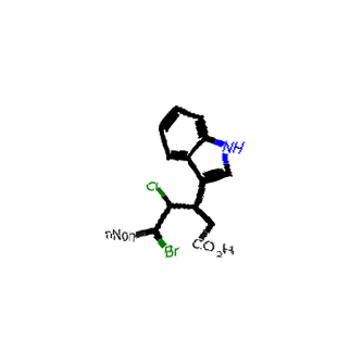 CCCCCCCCCC(Br)C(Cl)C(CC(=O)O)c1c[nH]c2ccccc12